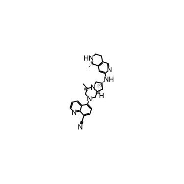 C[C@@H]1NCCc2cnc(N[C@@H]3C[C@H]4CN(c5ccc(C#N)c6ncccc56)C[C@@H](C)N4C3)cc21